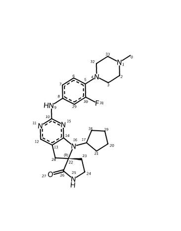 CN1CCN(c2ccc(Nc3ncc4c(n3)N(C3CCCC3)[C@@]3(CCNC3=O)C4)cc2F)CC1